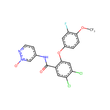 O=C(Nc1ccn[n+]([O-])c1)c1cc(Cl)c(Cl)cc1Oc1ccc(OC(F)(F)F)c(F)c1